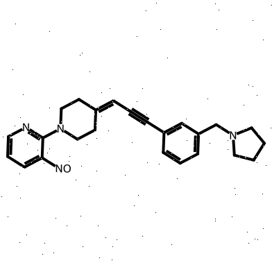 O=Nc1cccnc1N1CCC(=CC#Cc2cccc(CN3CCCC3)c2)CC1